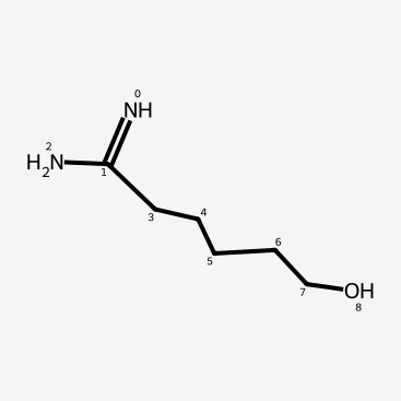 N=C(N)CCCCCO